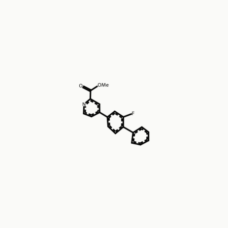 COC(=O)c1cc(-c2ccc(-c3ccccc3)c(F)c2)ccn1